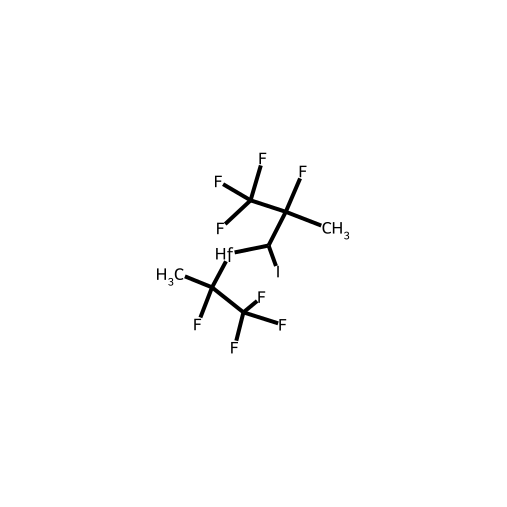 C[C](F)([Hf][CH](I)C(C)(F)C(F)(F)F)C(F)(F)F